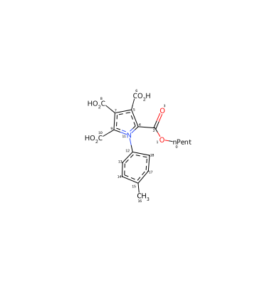 CCCCCOC(=O)c1c(C(=O)O)c(C(=O)O)c(C(=O)O)n1-c1ccc(C)cc1